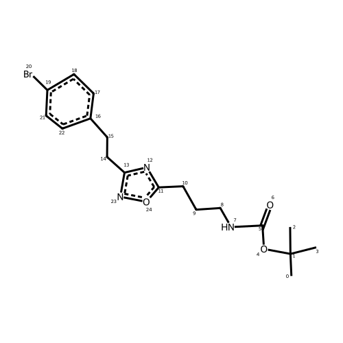 CC(C)(C)OC(=O)NCCCc1nc(CCc2ccc(Br)cc2)no1